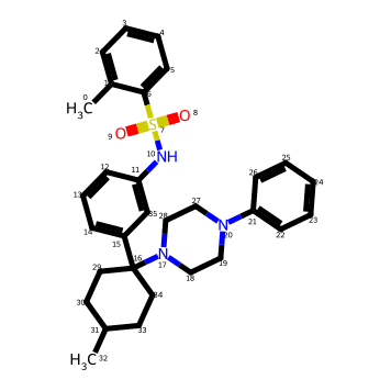 Cc1ccccc1S(=O)(=O)Nc1cccc(C2(N3CCN(c4ccccc4)CC3)CCC(C)CC2)c1